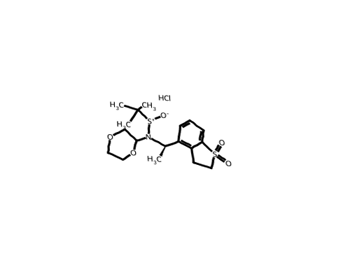 C[C@H](c1cccc2c1CCS2(=O)=O)N(C1COCCO1)[S+]([O-])C(C)(C)C.Cl